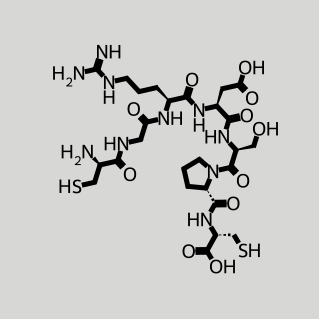 N=C(N)NCCC[C@H](NC(=O)CNC(=O)[C@H](N)CS)C(=O)N[C@@H](CC(=O)O)C(=O)N[C@@H](CO)C(=O)N1CCC[C@H]1C(=O)N[C@H](CS)C(=O)O